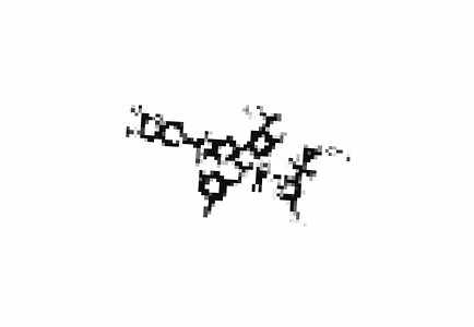 C[C@H]1C[C@H]1C(F)(F)c1cc(C(F)(F)F)nn1CC(=O)N[C@@H](Cc1cc(F)cc(F)c1)c1nc2nc(N3CCC4(CC3)CNC(=O)O4)sc2cc1-c1ccc(F)c(C(N)=O)c1